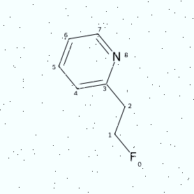 FCCc1cc[c]cn1